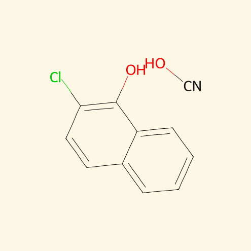 N#CO.Oc1c(Cl)ccc2ccccc12